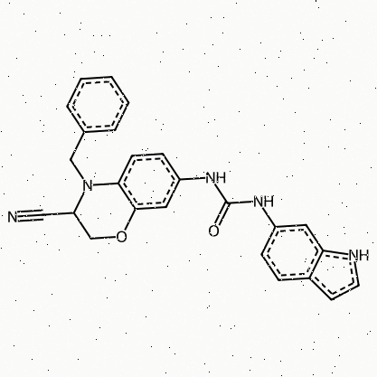 N#CC1COc2cc(NC(=O)Nc3ccc4cc[nH]c4c3)ccc2N1Cc1ccccc1